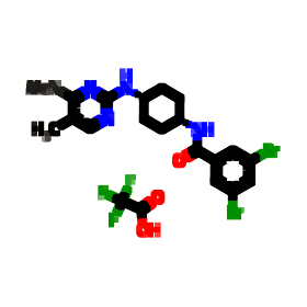 CNc1nc(N[C@H]2CC[C@@H](NC(=O)c3cc(Br)cc(Br)c3)CC2)ncc1C.O=C(O)C(F)(F)F